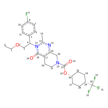 CCOCC(c1ccc(F)cc1)n1c(C)nc2c(c1=O)CCN(C(=O)O[C@H]1CC[C@@H](C(F)(F)F)CC1)C2